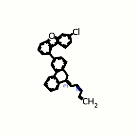 C=C/C=C\C=C1/Cc2ccc(-c3cccc4oc5cc(Cl)ccc5c34)cc2-c2ccccc21